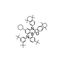 CC(C)(C)c1cc(N2c3ccc(C(C)(C)C)cc3B3c4oc5cc6c(cc5c4N(c4ccc5c(c4)C(C)(C)CCC5(C)C)c4cc(C5CCCCC5)cc2c43)C2(C)CCC6(C)C2)cc(C(C)(C)C)c1